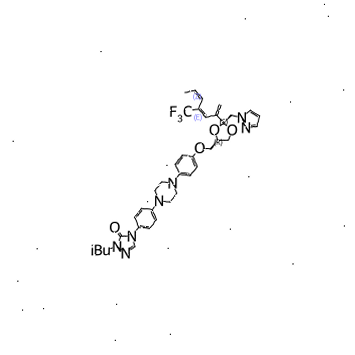 C=C(/C=C(\C=C/C)C(F)(F)F)[C@]1(Cn2cccn2)OC[C@@H](COc2ccc(N3CCN(c4ccc(-n5cnn(C(C)CC)c5=O)cc4)CC3)cc2)O1